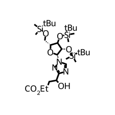 CCOC(=O)CC(O)c1ncn([C@@H]2O[C@H](CO[Si](C)(C)C(C)(C)C)C(O[Si](C)(C)C(C)(C)C)[C@@H]2O[Si](C)(C)C(C)(C)C)n1